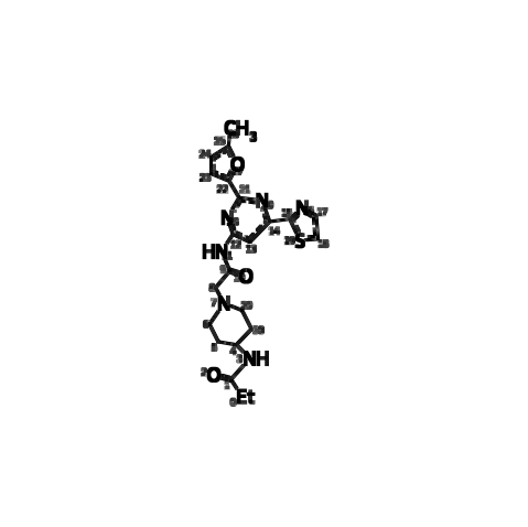 CCC(=O)NC1CCN(CC(=O)Nc2cc(-c3nccs3)nc(-c3ccc(C)o3)n2)CC1